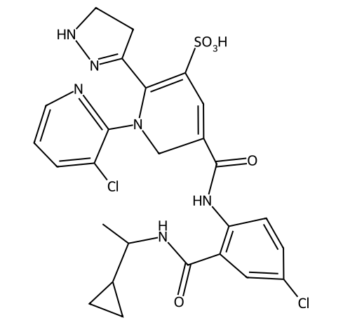 CC(NC(=O)c1cc(Cl)ccc1NC(=O)C1=CC(S(=O)(=O)O)=C(C2=NNCC2)N(c2ncccc2Cl)C1)C1CC1